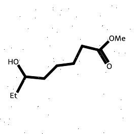 CCC(O)CCCCC(=O)OC